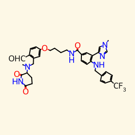 CN(Cc1cc(OCCCCNC(=O)c2ccc(NCc3ccc(C(F)(F)F)cc3)c(-c3cn(C)cn3)c2)ccc1C=O)C1CCC(=O)NC1=O